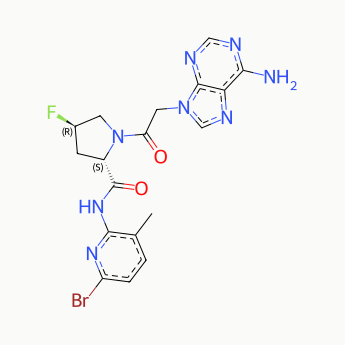 Cc1ccc(Br)nc1NC(=O)[C@@H]1C[C@@H](F)CN1C(=O)Cn1cnc2c(N)ncnc21